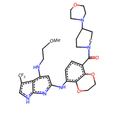 COCCNc1cc(Nc2ccc(C(=O)N3CCC(N4CCOCC4)CC3)c3c2OCCO3)nc2[nH]cc(C(F)(F)F)c12